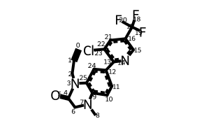 C#CCN1C(=O)CN(C)c2ccc(-c3ncc(C(F)(F)F)cc3Cl)cc21